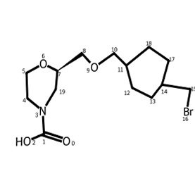 O=C(O)N1CCO[C@@H](COCC2CCC(CBr)CC2)C1